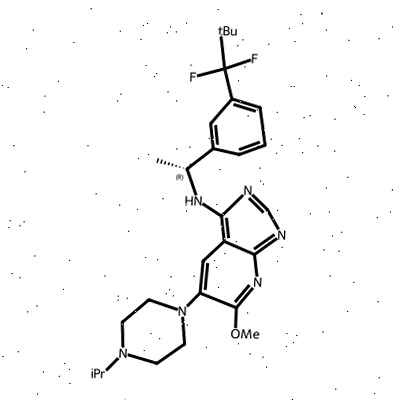 COc1nc2ncnc(N[C@H](C)c3cccc(C(F)(F)C(C)(C)C)c3)c2cc1N1CCN(C(C)C)CC1